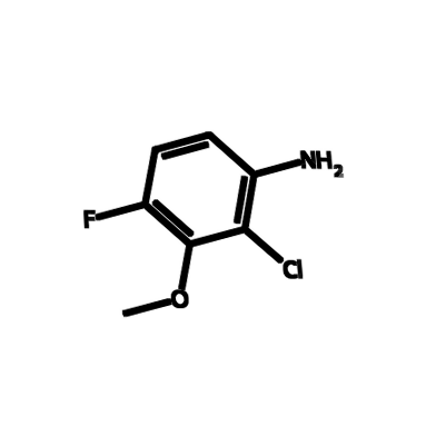 COc1c(F)ccc(N)c1Cl